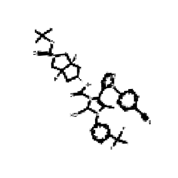 CC1=C(c2ccnn2-c2ccc(C#N)cc2)N(C(=O)N[C@@H]2C[C@@H]3CN(C(=O)OC(C)(C)C)C[C@@H]3C2)C(O)N1c1cccc(C(F)(F)F)c1